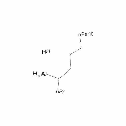 CCCCCCCC[CH]([AlH2])CCC.[HH]